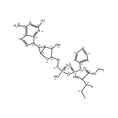 CCOC(=O)C(NP(=O)(Oc1ccccc1)OP(=O)(O)OCC1OC2C(C1O)C2n1cnc2c(N)nc(Cl)nc21)C(C)CC